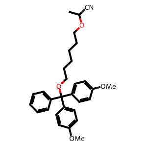 [CH2]C(C#N)OCCCCCCOC(c1ccccc1)(c1ccc(OC)cc1)c1ccc(OC)cc1